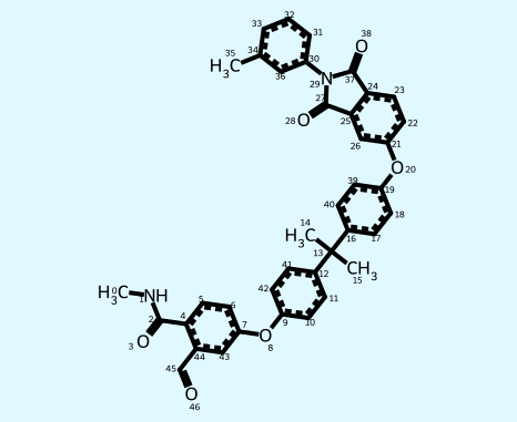 CNC(=O)c1ccc(Oc2ccc(C(C)(C)c3ccc(Oc4ccc5c(c4)C(=O)N(c4cccc(C)c4)C5=O)cc3)cc2)cc1C=O